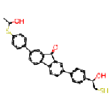 CC(O)Sc1ccc(-c2ccc3c(c2)C(=O)c2cc(-c4ccc(C(O)CS)cc4)ccc2-3)cc1